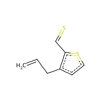 C=CCc1ccsc1C=S